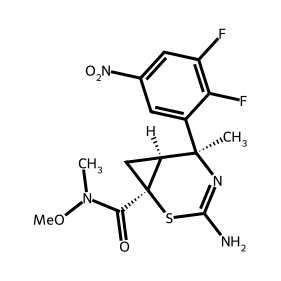 CON(C)C(=O)[C@]12C[C@H]1[C@@](C)(c1cc([N+](=O)[O-])cc(F)c1F)N=C(N)S2